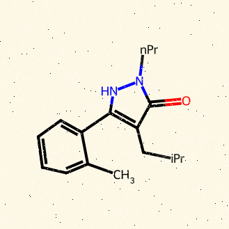 CCCn1[nH]c(-c2ccccc2C)c(CC(C)C)c1=O